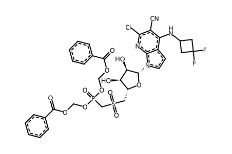 N#Cc1c(Cl)nc2c(ccn2[C@@H]2O[C@H](CS(=O)(=O)CP(=O)(OCOC(=O)c3ccccc3)OCOC(=O)c3ccccc3)[C@@H](O)[C@H]2O)c1NC1CC(F)(F)C1